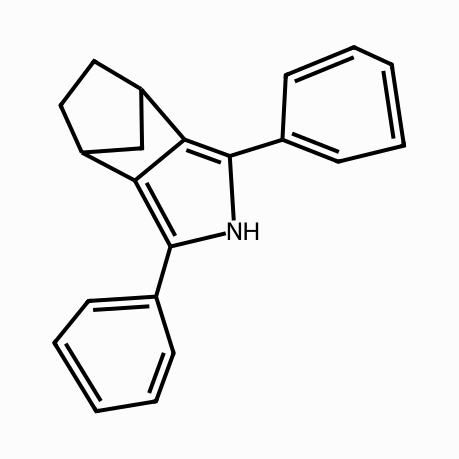 c1ccc(-c2[nH]c(-c3ccccc3)c3c2C2CCC3C2)cc1